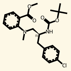 COC(=O)c1ccccc1N(C)C[C@H](Cc1ccc(Cl)cc1)NC(=O)OC(C)(C)C